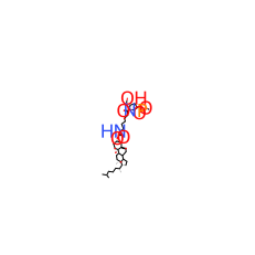 COP(C)(=O)C[C@@H]1C[C@@H](CO)N(C(=O)CCCCCNC(=O)O[C@H]2CC[C@@]3(C)C(=CCC4C3CC[C@@]3(C)C4CC[C@@H]3[C@H](C)CCCC(C)C)C2)C1